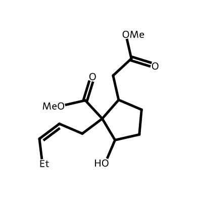 CC/C=C\CC1(C(=O)OC)C(O)CCC1CC(=O)OC